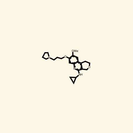 COc1cc2c3c(c(NC4CC4)nc2cc1OCCCN1CCCC1)COCC3